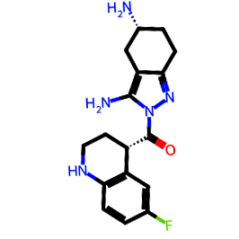 Nc1c2c(nn1C(=O)[C@H]1CCNc3ccc(F)cc31)CC[C@@H](N)C2